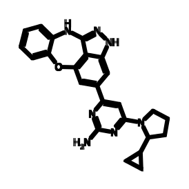 Nc1nc(-c2cc3c4c(n[nH]c4c2)Nc2ccccc2O3)cc(N2CCCC2C2CC2)n1